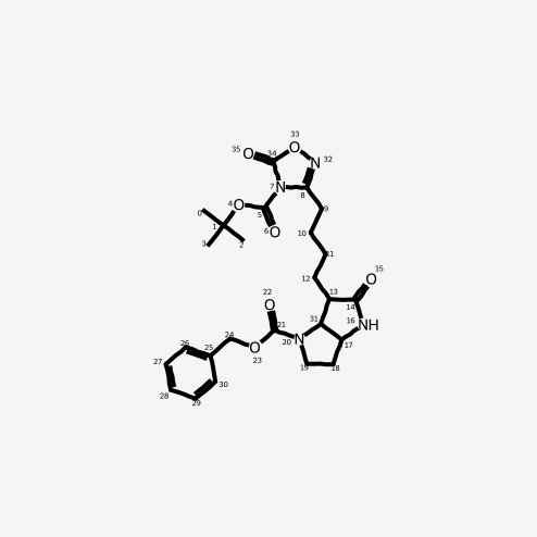 CC(C)(C)OC(=O)n1c(CCCCC2C(=O)NC3CCN(C(=O)OCc4ccccc4)C32)noc1=O